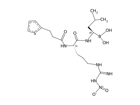 CC(C)C[C@H](NC(=O)[C@H](CCCNC(=N)N[N+](=O)[O-])NC(=O)CCc1cccs1)B(O)O